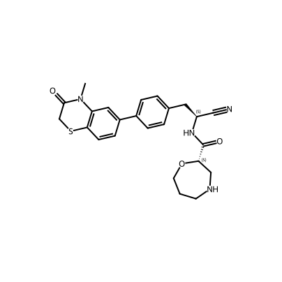 CN1C(=O)CSc2ccc(-c3ccc(C[C@@H](C#N)NC(=O)[C@@H]4CNCCCO4)cc3)cc21